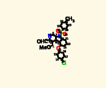 COCc1c(C=O)ncc2c1c1c(Oc3ccc(Cl)cc3)cccc1n2S(=O)(=O)c1ccc(C)cc1